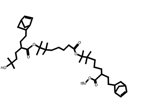 CC(C)(O)CCC(CCC1CC2C=CC1C2)C(=O)OC(C)(C)C(C)(C)CCCCC(=O)OC(C)(C)C(C)(C)CCCC(CCC1CC2C=CC1C2)C(=O)OC(C)(C)C